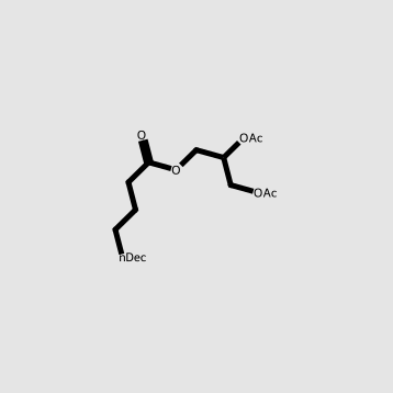 CCCCCCCCCCCCCC(=O)OCC(COC(C)=O)OC(C)=O